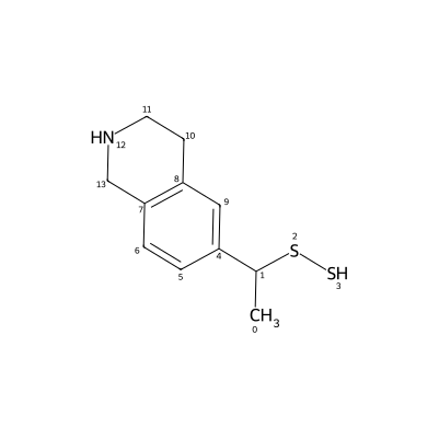 CC(SS)c1ccc2c(c1)CCNC2